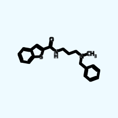 CN(CCCNC(=O)c1cc2ccccc2s1)Cc1ccccc1